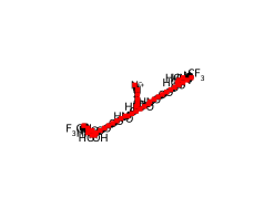 [N-]=[N+]=NCCCCCC(=O)NC(COCCC(=O)NCCOCCOCCOCCOCC1OC[C@H](Nc2nccc(C(F)(F)F)n2)[C@@H](O)[C@H]1O)COCCC(=O)NCCOCCOCCOCCOC[C@H]1OC[C@H](Nc2nccc(C(F)(F)F)n2)[C@@H](O)[C@H]1O